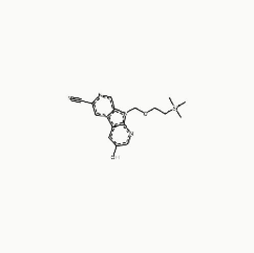 C[Si](C)(C)CCOCn1c2cnc(C#N)cc2c2cc(O)cnc21